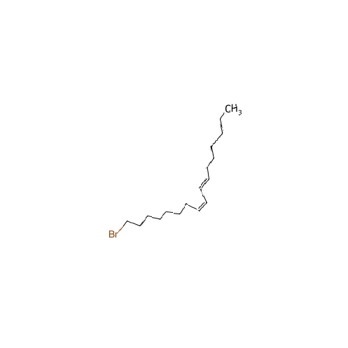 CCCCCC/C=C/C=C\CCCCCCCBr